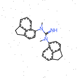 CN(C(=N)N(C)c1ccc2c3c(cccc13)CC2)c1ccc2c3c(cccc13)CC2